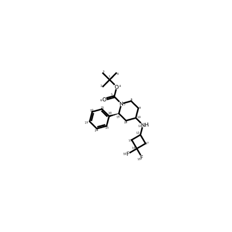 CC(C)(C)OC(=O)N1CCC(NC2CC(F)(F)C2)C[C@H]1c1ccccc1